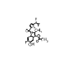 CC(=O)Oc1c(C)n(C(=O)c2ccc(C(F)F)s2)c2cc(F)c(O)cc12